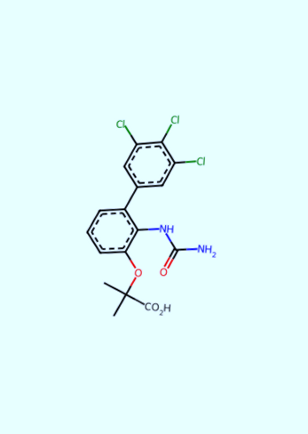 CC(C)(Oc1cccc(-c2cc(Cl)c(Cl)c(Cl)c2)c1NC(N)=O)C(=O)O